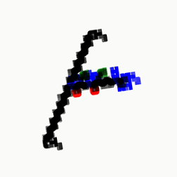 CCCCCCCCCCCCCCN(CCCCCCCCCCCC)C(=O)C(CNC(=O)C(CCCNC(=N)N)NCl)NCl